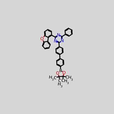 CC1(C)OB(c2ccc(-c3ccc(-c4nc(-c5ccccc5)nc(-c5cccc6oc7ccccc7c56)n4)cc3)cc2)OC1(C)C